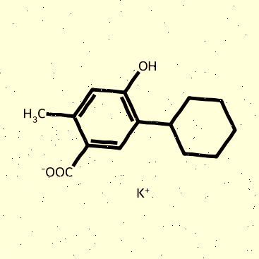 Cc1cc(O)c(C2CCCCC2)cc1C(=O)[O-].[K+]